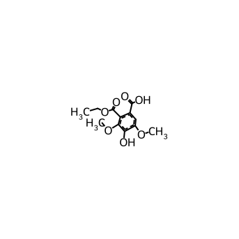 CCOC(=O)c1c(C(=O)O)cc(OC)c(O)c1OC